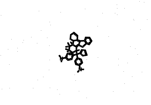 CN(C)c1ccc(C(C2=CC=CC2)(c2ccc(N(C)C)cc2)C2(C)C3=C4Cc5ccccc5C4=C4C=CCCC4C3(C)C(C)(C)C(C)(C)C2(C)C)cc1